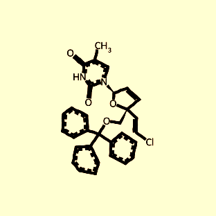 Cc1cn([C@H]2C=C[C@@](C=CCl)(COC(c3ccccc3)(c3ccccc3)c3ccccc3)O2)c(=O)[nH]c1=O